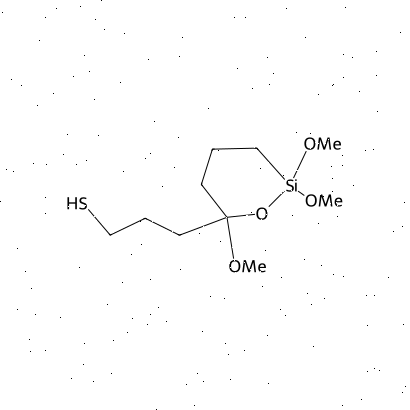 COC1(CCCS)CCC[Si](OC)(OC)O1